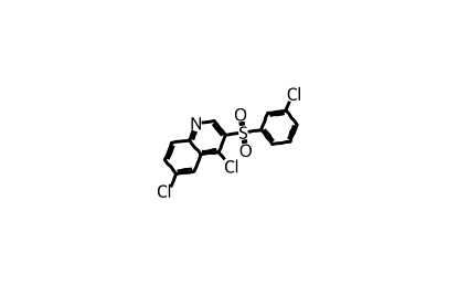 O=S(=O)(c1cccc(Cl)c1)c1cnc2ccc(Cl)cc2c1Cl